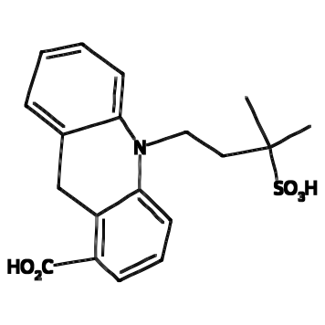 CC(C)(CCN1c2ccccc2Cc2c(C(=O)O)cccc21)S(=O)(=O)O